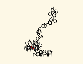 COc1nc(-c2cc(O[Si](C(C)C)(C(C)C)C(C)C)cc3ccc(F)c(C#C[Si](C(C)C)(C(C)C)C(C)C)c23)c(F)c2nc(OCC3(CN4CCN(CC5CCN(c6ccc7c(c6)CN(C6CCC(=O)NC6=O)C7=O)CC5)CC4)CC3)nc(N3CCCOC4CC43)c12